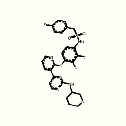 O=S(=O)(Cc1ccc(F)cc1)Nc1ccc(Oc2ncccc2-c2ccnc(NC3CCCNC3)n2)c(F)c1F